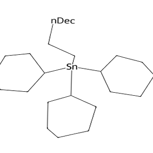 CCCCCCCCCCC[CH2][Sn]([CH]1CCCCC1)([CH]1CCCCC1)[CH]1CCCCC1